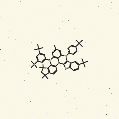 Cc1cc2c3c(c1)N(c1ccc(C(C)(C)C)cc1)c1c(sc4ccc(C(C)(C)C)cc14)B3c1ccc3c(c1N2c1cc(C(C)(C)C)cc(C(C)(C)C)c1)C(C)(C)CC3(C)C